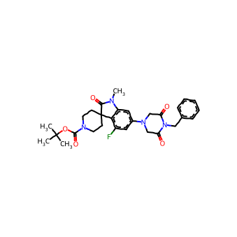 CN1C(=O)C2(CCN(C(=O)OC(C)(C)C)CC2)c2c(F)cc(N3CC(=O)N(Cc4ccccc4)C(=O)C3)cc21